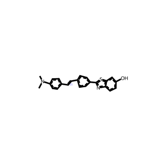 CN(C)c1ccc(/C=C/c2ccc(-c3nc4ccc(O)cc4s3)cc2)cc1